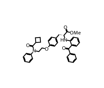 COC(=O)[C@@H](Cc1ccc(OCCN(C(=O)C2CCC2)c2ccccc2)cc1)Nc1ccccc1C(=O)c1ccccc1